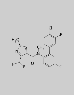 CN(C(=O)c1cn(C)nc1C(F)F)c1ccc(F)cc1-c1ccc(Cl)c(F)c1